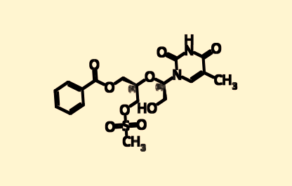 Cc1cn([C@@H](CO)O[C@H](COC(=O)c2ccccc2)COS(C)(=O)=O)c(=O)[nH]c1=O